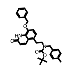 Cc1ccc(CN(CCc2ccc(OCc3ccccc3)c3[nH]c(=O)ccc23)C(=O)OC(C)(C)C)cc1